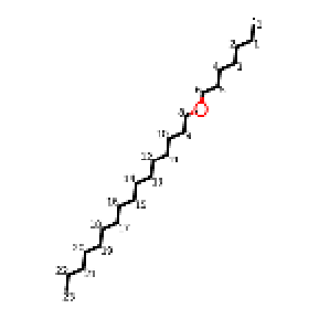 [CH2]CCCCCCOCCCCCCCCCCCCCCCC